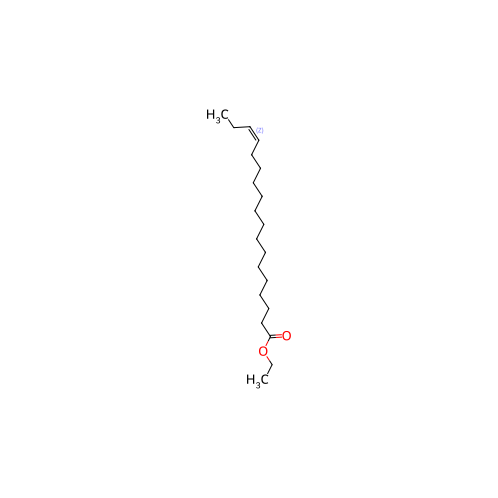 CC/C=C\CCCCCCCCCCCCCC(=O)OCC